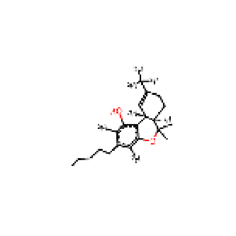 [2H]c1c(O)c2c(c([2H])c1CCCCC)OC(C)(C)[C@@H]1CCC(C([2H])([2H])[2H])=C[C@@]21[2H]